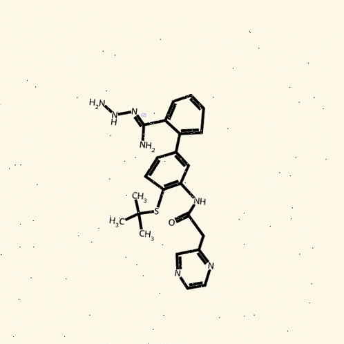 CC(C)(C)Sc1ccc(-c2ccccc2/C(N)=N/NN)cc1NC(=O)Cc1cnccn1